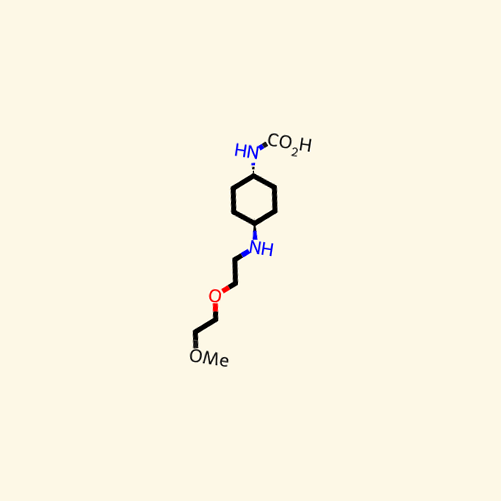 COCCOCCN[C@H]1CC[C@H](NC(=O)O)CC1